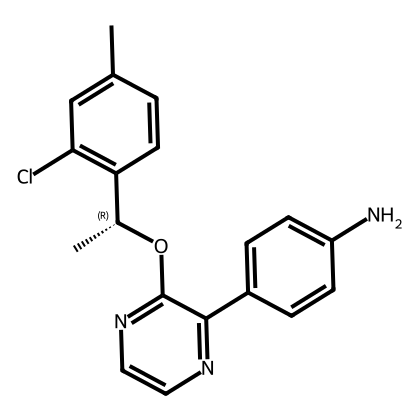 Cc1ccc([C@@H](C)Oc2nccnc2-c2ccc(N)cc2)c(Cl)c1